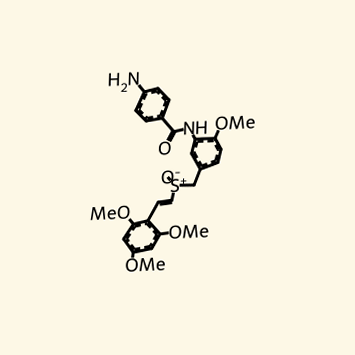 COc1cc(OC)c(/C=C/[S+]([O-])Cc2ccc(OC)c(NC(=O)c3ccc(N)cc3)c2)c(OC)c1